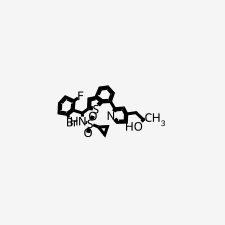 CC(O)Cc1ccnc(-c2cccc3cc(C(NS(=O)(=O)C4CC4)c4c(F)cccc4Br)sc23)c1